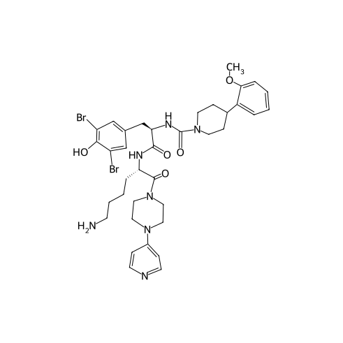 COc1ccccc1C1CCN(C(=O)N[C@H](Cc2cc(Br)c(O)c(Br)c2)C(=O)N[C@@H](CCCCN)C(=O)N2CCN(c3ccncc3)CC2)CC1